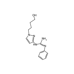 N/C(=N/c1ccccc1)Nc1ccn(CCCCO)n1